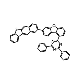 c1ccc(-c2nc(-c3ccccc3)nc(-c3cccc4oc5cc(-c6ccc7cc8sc9ccccc9c8cc7c6)ccc5c34)n2)cc1